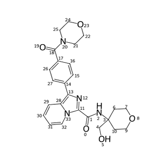 O=C(NC1(CO)CCOCC1)c1nc(-c2ccc(C(=O)N3CCOCC3)cc2)c2ccccn12